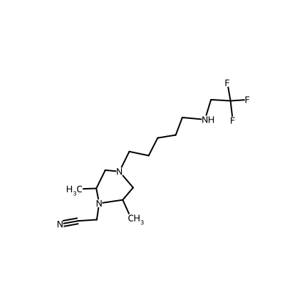 CC1CN(CCCCCNCC(F)(F)F)CC(C)N1CC#N